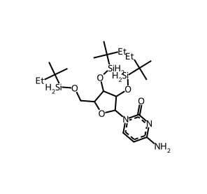 CCC(C)(C)[SiH2]OCC1OC(n2ccc(N)nc2=O)C(O[SiH2]C(C)(C)CC)C1O[SiH2]C(C)(C)CC